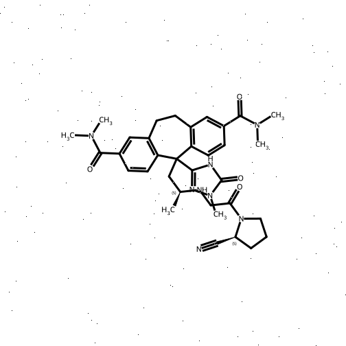 C[C@@H](CC1(c2nn(C)c(=O)[nH]2)c2ccc(C(=O)N(C)C)cc2CCc2cc(C(=O)N(C)C)ccc21)NCC(=O)N1CCC[C@H]1C#N